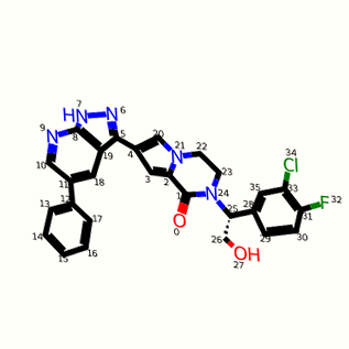 O=C1c2cc(-c3n[nH]c4ncc(-c5ccccc5)cc34)cn2CCN1[C@@H](CO)c1ccc(F)c(Cl)c1